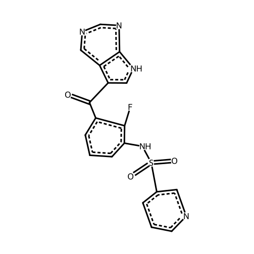 O=C(c1cccc(NS(=O)(=O)c2cccnc2)c1F)c1c[nH]c2ncncc12